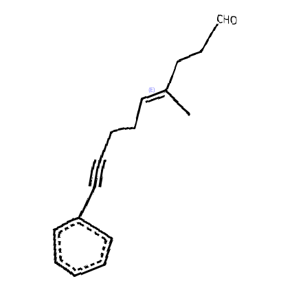 C/C(=C\CCC#Cc1ccccc1)CCC=O